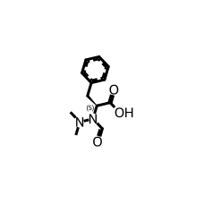 CN(C)N(C=O)[C@@H](Cc1ccccc1)C(=O)O